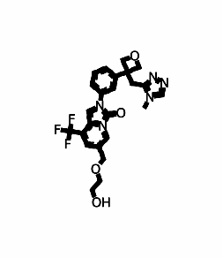 Cn1cnnc1CC1(c2cccc(-n3cc4c(C(F)(F)F)cc(COCCO)cn4c3=O)c2)COC1